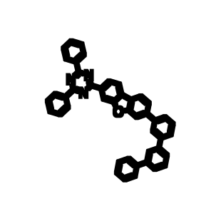 c1ccc(-c2cccc(-c3cccc(-c4ccc5c(c4)oc4cc(-c6nc(-c7ccccc7)nc(-c7ccccc7)n6)ccc45)c3)c2)cc1